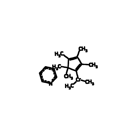 CC1=C(C)C(C)(C)[C]([Cr]([CH3])[CH3])=C1C.c1ccncc1